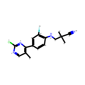 Cc1cnc(Cl)nc1-c1ccc(NCC(C)(C)C#N)c(F)c1